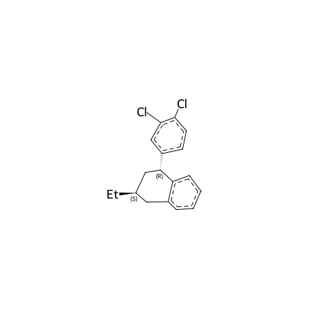 CC[C@@H]1Cc2ccccc2[C@@H](c2ccc(Cl)c(Cl)c2)C1